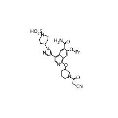 CC(C)Oc1cc2c(OC3CCCN(C(=O)CC#N)C3)ncc(-c3cnn(C4CCN(C(=O)O)CC4)c3)c2cc1C(N)=O